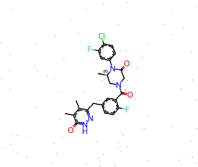 Cc1c(Cc2ccc(F)c(C(=O)N3CC(=O)N(c4ccc(Cl)c(F)c4)[C@H](C)C3)c2)n[nH]c(=O)c1C